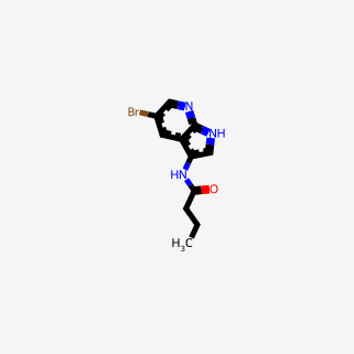 CCCC(=O)Nc1c[nH]c2ncc(Br)cc12